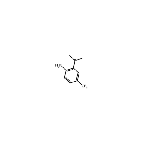 CP(C)c1cc(C(F)(F)F)ccc1N